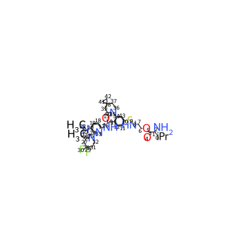 CC(C)C(N)C(=O)OCCNSc1ccc(C(=O)Nc2ccc(N(C)C)c(N3CCC(F)(F)CC3)n2)c(N2CCC3(CC2)CC3)c1